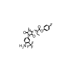 CCN(C[C@@H]1C(=O)N(c2ccc(N)c(C(F)(F)F)c2)C(=O)N1C)C(=O)Oc1ccc(F)cc1